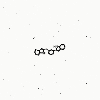 c1cc(Cc2cc3ccccc3[nH]2)cc(-c2cc3ccccc3[nH]2)c1